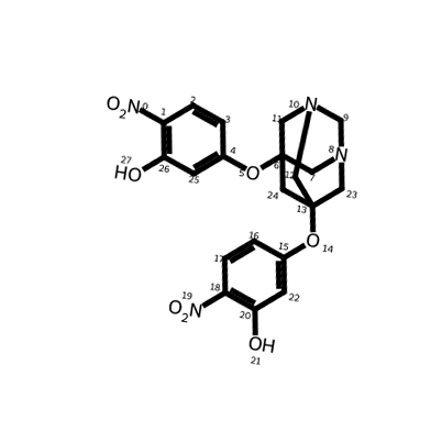 O=[N+]([O-])c1ccc(OC23CN4CN(C2)CC(Oc2ccc([N+](=O)[O-])c(O)c2)(C4)C3)cc1O